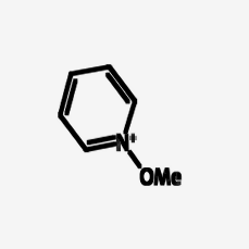 CO[n+]1ccccc1